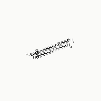 CCCCCCCCCCCCCCCCCCC(=O)O.CCCCCCCCCCCCCCCCCCCCC(=O)OCCC